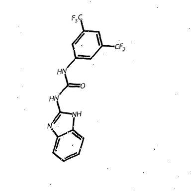 O=C(Nc1cc(C(F)(F)F)cc(C(F)(F)F)c1)Nc1nc2ccccc2[nH]1